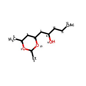 CCC1OC(C)CC(CC(O)CCOC(C)=O)O1